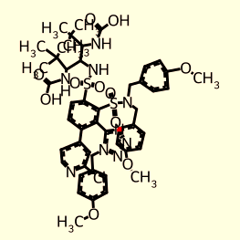 COc1ccc(CN(Cc2ccc(OC)cc2)S(=O)(=O)c2c(S(=O)(=O)NC(C(NC(=O)O)C(C)(C)C)C(NC(=O)O)C(C)(C)C)ccc(-c3ccnc(Cl)c3)c2-c2nnnn2Cc2ccc(OC)cc2)cc1